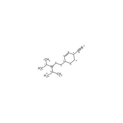 CC(C)N(CCC1C=CC(C#N)CC1)C(C)C